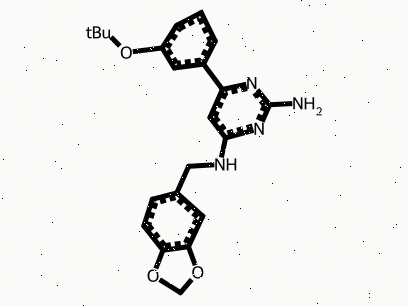 CC(C)(C)Oc1cccc(-c2cc(NCc3ccc4c(c3)OCO4)nc(N)n2)c1